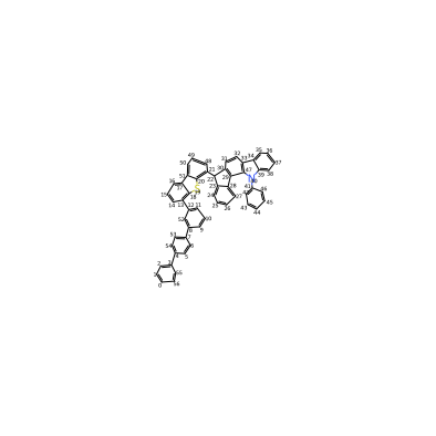 c1ccc(-c2ccc(-c3cccc(-c4cccc5c4sc4c(C6c7ccccc7-c7c6ccc6c8ccccc8n(-c8ccccc8)c76)cccc45)c3)cc2)cc1